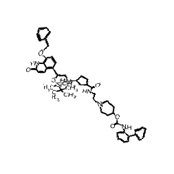 CC(C)(C)[Si](C)(C)OC(CNC1CCC(C(=O)NCCN2CCC(OC(=O)Nc3ccccc3-c3ccccc3)CC2)C1)c1ccc(OCc2ccccc2)c2[nH]c(=O)ccc12